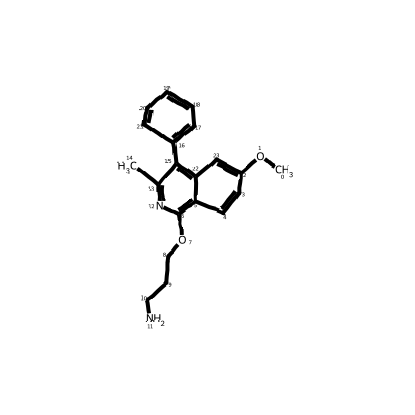 COc1ccc2c(OCCCN)nc(C)c(-c3ccccc3)c2c1